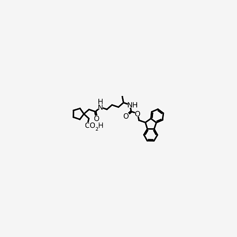 CC(CCCNC(=O)CC1(CC(=O)O)CCCC1)NC(=O)OCC1c2ccccc2-c2ccccc21